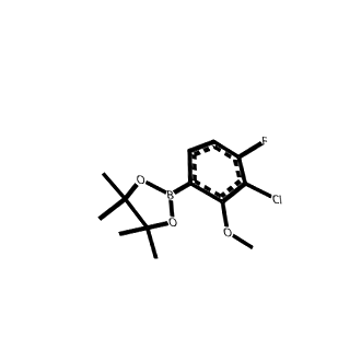 COc1c(B2OC(C)(C)C(C)(C)O2)ccc(F)c1Cl